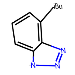 CCC(C)c1cccc2c1N=N[N]2